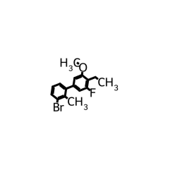 CCc1c(F)cc(-c2cccc(Br)c2C)cc1OC